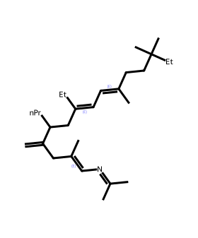 C=C(C/C(C)=C/N=C(C)C)C(CCC)C/C(=C/C=C(\C)CCC(C)(C)CC)CC